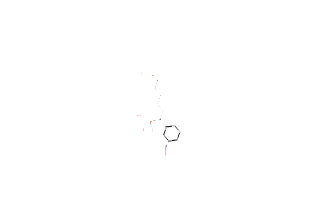 COC(=O)C(CCCCCCl)c1cccc(I)c1